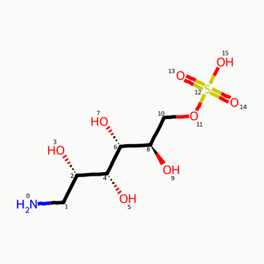 NC[C@H](O)[C@@H](O)[C@H](O)[C@H](O)COS(=O)(=O)O